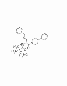 CC(C)(N)C(=O)NC(CSCc1ccccc1)C(=O)N1CCC(c2ccccc2)CC1.Cl